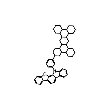 c1cc(C2CCC3C(C2)C2CCCCC2C2CC4C5CCCCC5C5CCCCC5C4CC32)cc(-n2c3ccccc3c3ccc4c5ccccc5oc4c32)c1